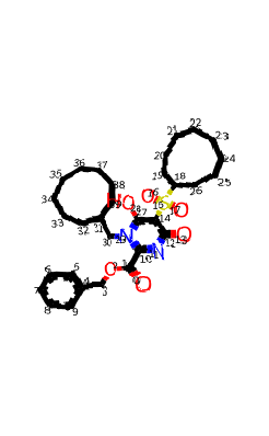 O=C(OCc1ccccc1)c1nc(=O)c(S(=O)(=O)C2CCCCCCCC2)c(O)n1CC1CCCCCCCC1